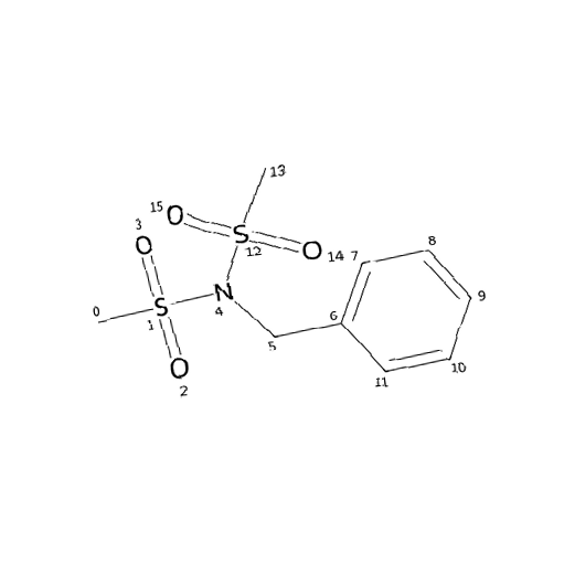 CS(=O)(=O)N(Cc1ccccc1)S(C)(=O)=O